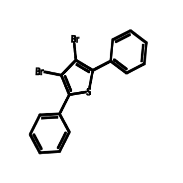 Brc1c(-c2ccccc2)sc(-c2ccccc2)c1Br